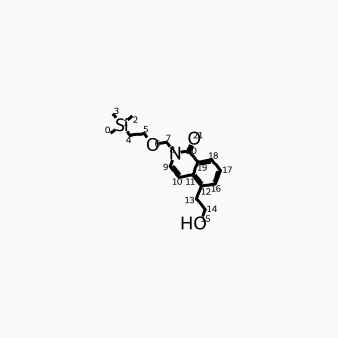 C[Si](C)(C)CCOCn1ccc2c(CCO)cccc2c1=O